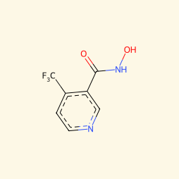 O=C(NO)c1cnccc1C(F)(F)F